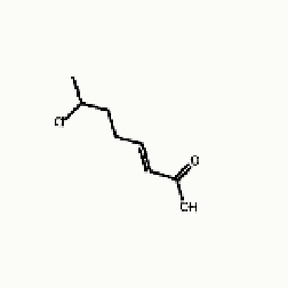 CC(Cl)CC/C=C/C(=O)O